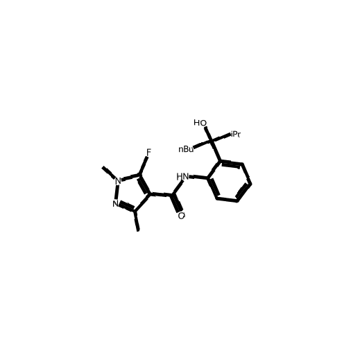 CCCCC(O)(c1ccccc1NC(=O)c1c(C)nn(C)c1F)C(C)C